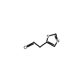 O=[C]Cc1cncs1